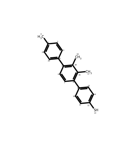 Cc1ccc(-c2ccc(-c3ccc(S)cc3)c(C)c2C)cc1